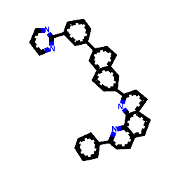 c1ccc(-c2ccc3ccc4ccc(-c5ccc6cc(-c7cccc(-c8ncccn8)c7)ccc6c5)nc4c3n2)cc1